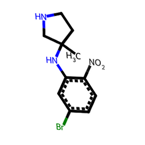 CC1(Nc2cc(Br)ccc2[N+](=O)[O-])CCNC1